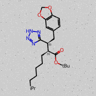 CC(C)CCCCC[C@H](C(=O)OC(C)(C)C)[C@H](Cc1ccc2c(c1)OCO2)c1nn[nH]n1